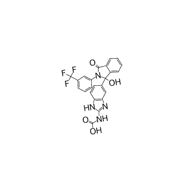 O=C(O)Nc1nc2cc(C3(O)c4ccccc4C(=O)N3c3cccc(C(F)(F)F)c3)ccc2[nH]1